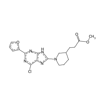 COC(=O)CCC1CCCN(c2nc3c(Cl)nc(-c4ccco4)nc3[nH]2)C1